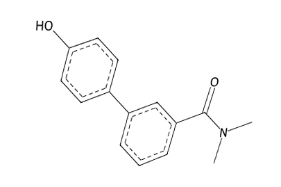 CN(C)C(=O)c1cccc(-c2ccc(O)cc2)c1